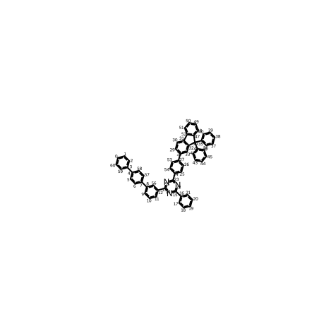 c1ccc(-c2ccc(-c3cccc(-c4nc(-c5ccccc5)nc(-c5ccc(-c6ccc7c(c6)C(c6ccccc6)(c6ccccc6)c6ccccc6-7)cc5)n4)c3)cc2)cc1